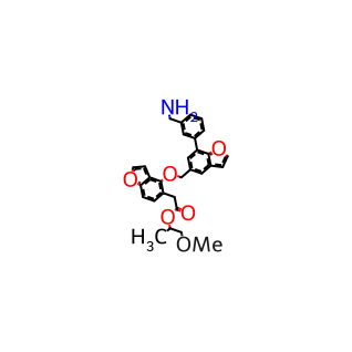 COCC(C)OC(=O)Cc1ccc2occc2c1OCc1cc(-c2cccc(CN)c2)c2occc2c1